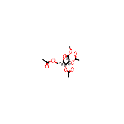 CO[C@@H]1O[C@@H](COC(C)=O)[C@H](OC(C)=O)[C@H]1OC(C)=O